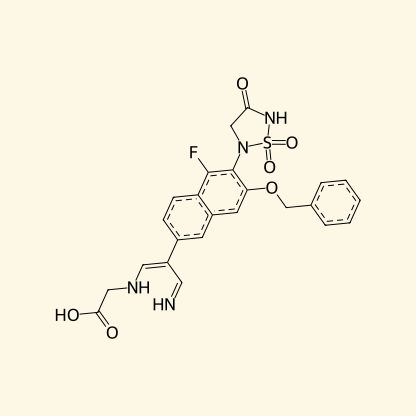 N=C/C(=C\NCC(=O)O)c1ccc2c(F)c(N3CC(=O)NS3(=O)=O)c(OCc3ccccc3)cc2c1